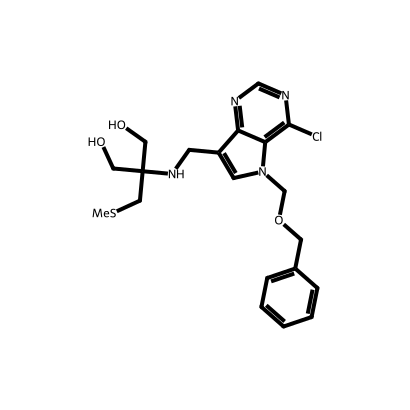 CSCC(CO)(CO)NCc1cn(COCc2ccccc2)c2c(Cl)ncnc12